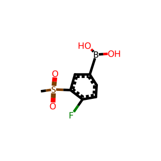 CS(=O)(=O)c1cc(B(O)O)ccc1F